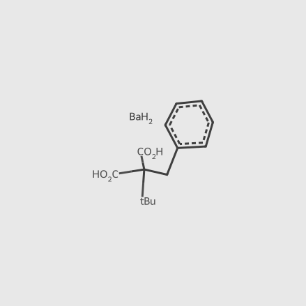 CC(C)(C)C(Cc1ccccc1)(C(=O)O)C(=O)O.[BaH2]